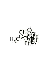 CCN(CC)c1cccc(C(=O)c2ccccc2)c1N(CC)CC.Cc1cc(C)cc(C)c1